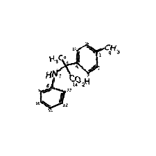 Cc1ccc(C(C)(Nc2ccccc2)C(=O)O)cc1